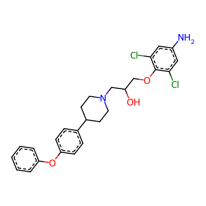 Nc1cc(Cl)c(OCC(O)CN2CCC(c3ccc(Oc4ccccc4)cc3)CC2)c(Cl)c1